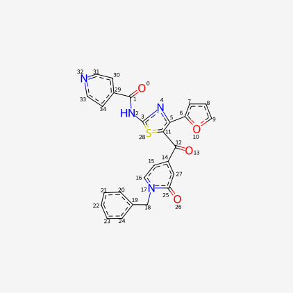 O=C(Nc1nc(-c2ccco2)c(C(=O)c2ccn(Cc3ccccc3)c(=O)c2)s1)c1ccncc1